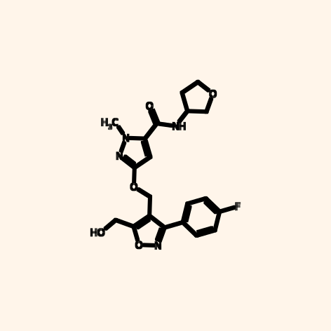 Cn1nc(OCc2c(-c3ccc(F)cc3)noc2CO)cc1C(=O)NC1CCOC1